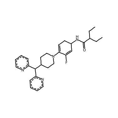 CCC(CC)C(=O)NC1C=C(F)C(N2CCC(C(c3ccccn3)c3ccccn3)CC2)=CC1